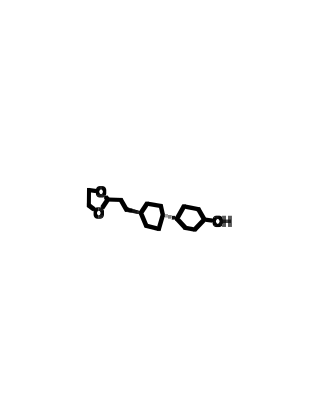 OC1CCC([C@H]2CC[C@H](CCC3OCCO3)CC2)CC1